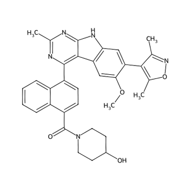 COc1cc2c(cc1-c1c(C)noc1C)[nH]c1nc(C)nc(-c3ccc(C(=O)N4CCC(O)CC4)c4ccccc34)c12